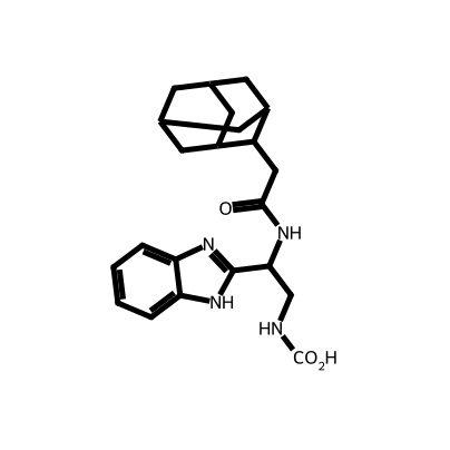 O=C(O)NCC(NC(=O)CC1C2CC3CC(C2)CC1C3)c1nc2ccccc2[nH]1